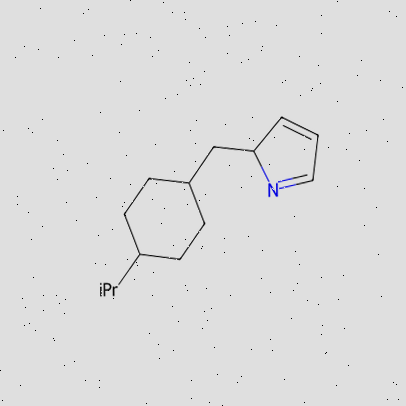 CC(C)C1CCC(CC2C=CC=N2)CC1